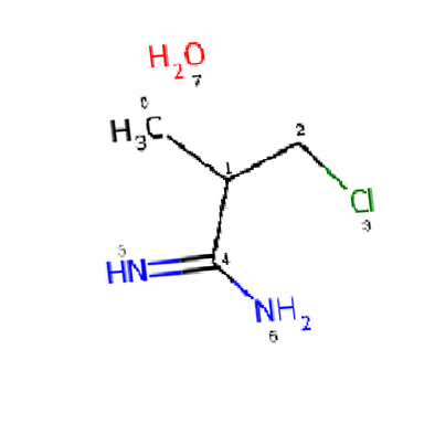 CC(CCl)C(=N)N.O